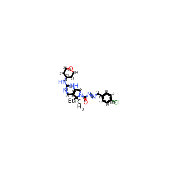 CCC1(C)C2=C(CN1C(=O)N=NCc1ccc(Cl)cc1)NC(NC1CCOCC1)N=C2